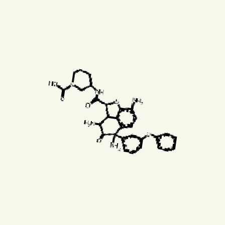 Nc1ccc2c3c1SC(C(=O)NC1CCCN(C(=O)O)C1)C3C(N)C(=O)C2(N)c1cccc(Oc2ccccc2)c1